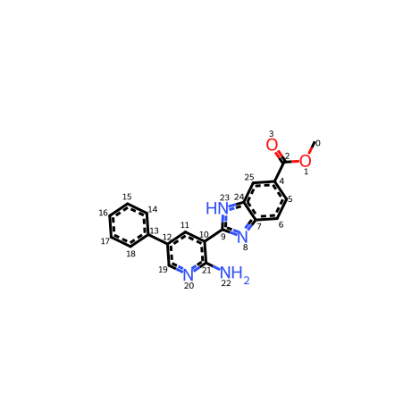 COC(=O)c1ccc2nc(-c3cc(-c4ccccc4)cnc3N)[nH]c2c1